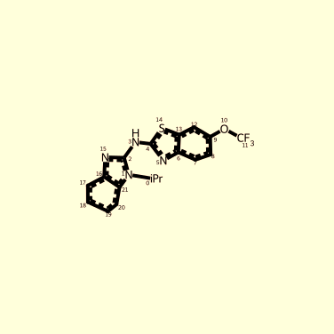 CC(C)n1c(Nc2nc3ccc(OC(F)(F)F)cc3s2)nc2ccccc21